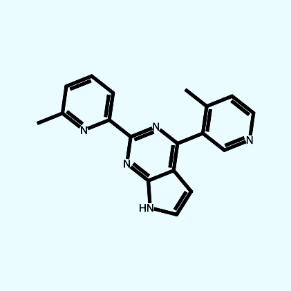 Cc1cccc(-c2nc(-c3cnccc3C)c3cc[nH]c3n2)n1